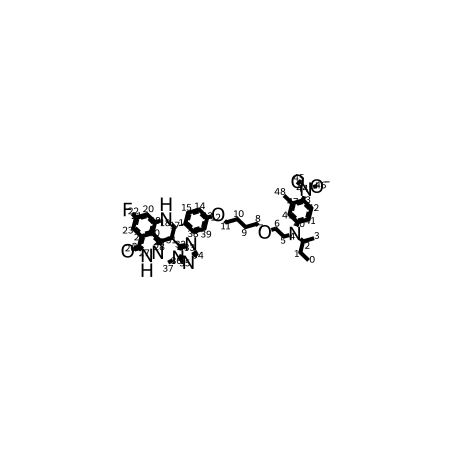 CCC(C)N(CCOCCCCOc1ccc([C@H]2Nc3cc(F)cc4c(=O)[nH]nc(c34)[C@@H]2c2ncnn2C)cc1)c1ccc([N+](=O)[O-])c(C)c1